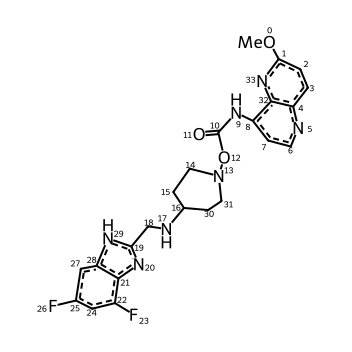 COc1ccc2nccc(NC(=O)ON3CCC(NCc4nc5c(F)cc(F)cc5[nH]4)CC3)c2n1